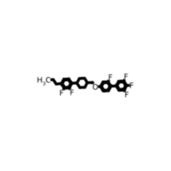 CCCc1ccc(C2CCC(COc3ccc(-c4cc(F)c(F)c(F)c4)c(F)c3)CC2)c(F)c1F